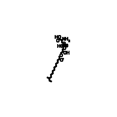 CCC(C)CCCCCCCCCCC(COCC(O)COP(=O)(O)OCC(N)C(=O)O)OC